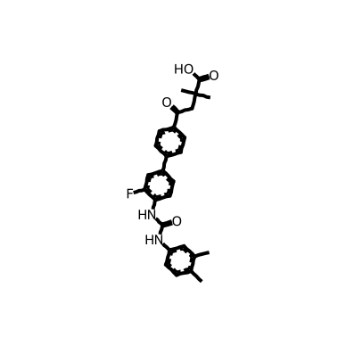 Cc1ccc(NC(=O)Nc2ccc(-c3ccc(C(=O)CC(C)(C)C(=O)O)cc3)cc2F)cc1C